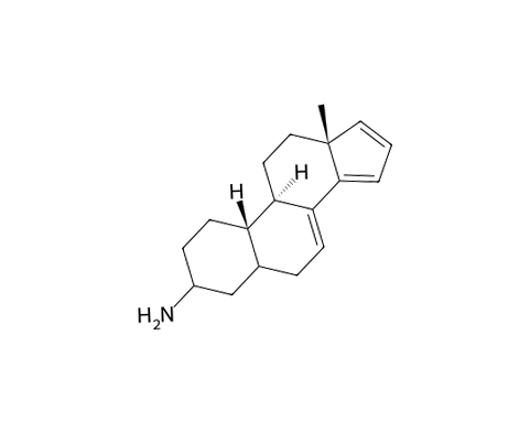 C[C@@]12C=CC=C1C1=CCC3CC(N)CC[C@@H]3[C@H]1CC2